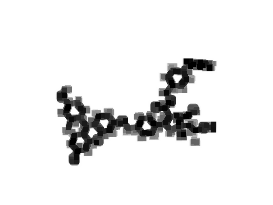 COc1ccc(-c2c3ccc(=O)cc-3oc3cc(OCc4ccc(C5=C(C(=O)OCc6ccc(N=[N+]=[N-])cc6)N6C(=O)[C@H]([C@@H](C)O)[C@H]6C5)cc4)ccc23)c(C)c1